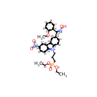 CCOP(=O)(CCCn1c2ccc(/C(=N/O)c3ccccc3OC)cc2c2cc([N+](=O)[O-])ccc21)OCC